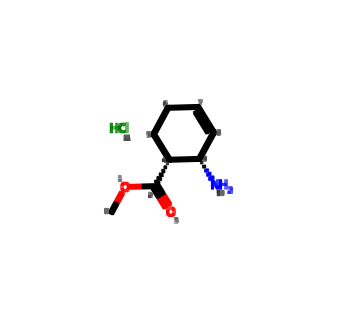 COC(=O)[C@@H]1CCC=C[C@@H]1N.Cl